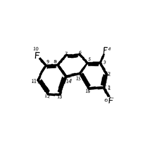 Fc1[c]c(F)c2ccc3c(F)[c]ccc3c2c1